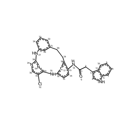 O=C(Cc1c[nH]c2ccccc12)Nc1ccc2cc1CCc1cccc(c1)Nc1ncc(Cl)c(n1)N2